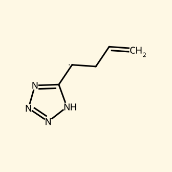 C=CC[CH]c1nnn[nH]1